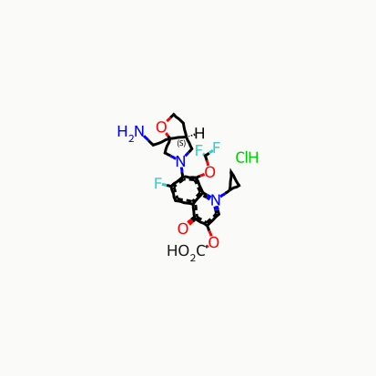 Cl.NCC12CN(c3c(F)cc4c(=O)c(OC(=O)O)cn(C5CC5)c4c3OC(F)F)C[C@@H]1CCO2